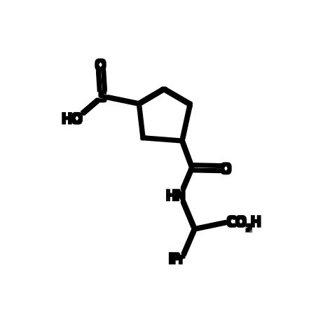 CC(C)C(NC(=O)C1CCC(S(=O)O)C1)C(=O)O